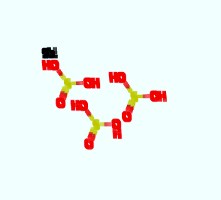 O=S(O)O.O=S(O)O.O=S(O)O.[Sb]